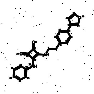 O=c1c(NCCc2ccc(-c3ccoc3)cc2)c(Nc2ccncc2)c1=O